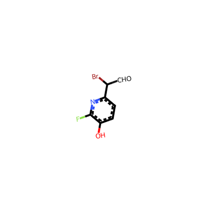 O=CC(Br)c1ccc(O)c(F)n1